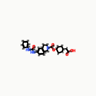 O=C(O)C[C@H]1CC[C@H](OC(=O)N2CCc3cc(NC(=O)Nc4ccccc4)ccc3C2)CC1